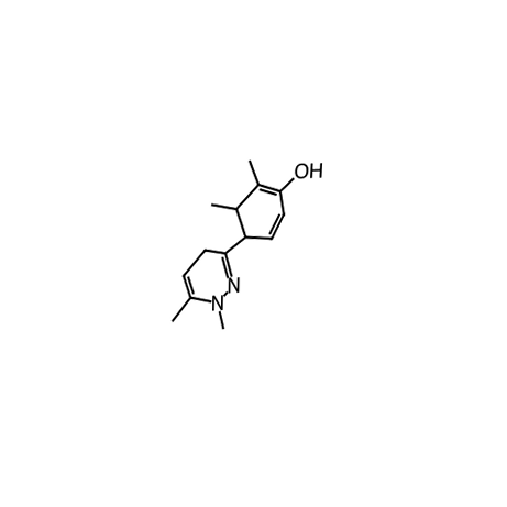 CC1=CCC(C2C=CC(O)=C(C)C2C)=NN1C